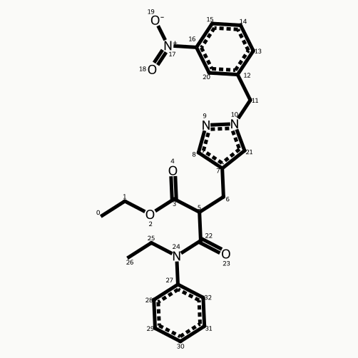 CCOC(=O)C(Cc1cnn(Cc2cccc([N+](=O)[O-])c2)c1)C(=O)N(CC)c1ccccc1